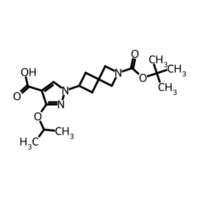 CC(C)Oc1nn(C2CC3(C2)CN(C(=O)OC(C)(C)C)C3)cc1C(=O)O